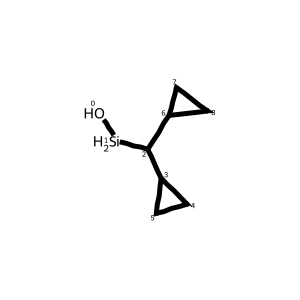 O[SiH2]C(C1CC1)C1CC1